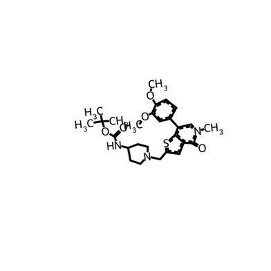 COc1ccc(-c2cn(C)c(=O)c3cc(CN4CCC(NC(=O)OC(C)(C)C)CC4)sc23)cc1OC